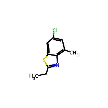 CCc1nc2c(C)cc(Cl)cc2s1